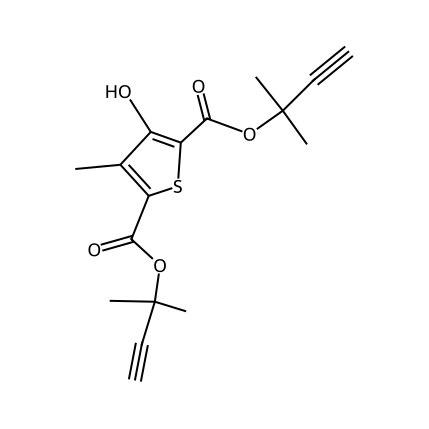 C#CC(C)(C)OC(=O)c1sc(C(=O)OC(C)(C)C#C)c(O)c1C